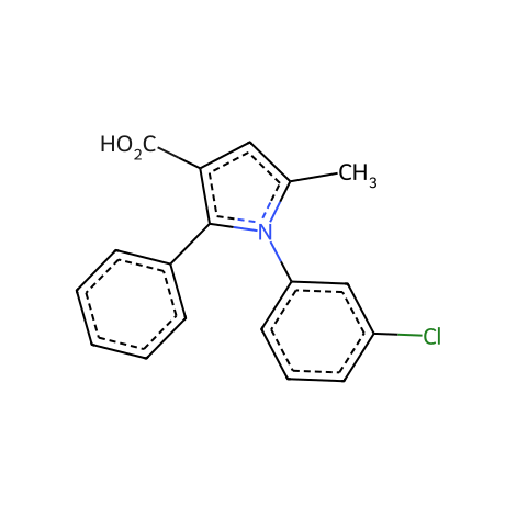 Cc1cc(C(=O)O)c(-c2ccccc2)n1-c1cccc(Cl)c1